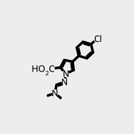 CN(C)/C=N/n1cc(-c2ccc(Cl)cc2)cc1C(=O)O